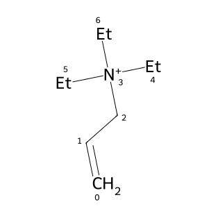 C=CC[N+](CC)(CC)CC